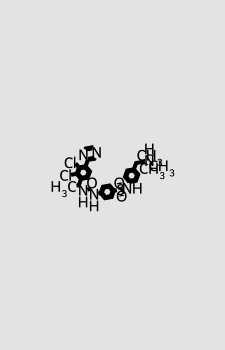 CNC(C)(C)Cc1ccc(NS(=O)(=O)c2ccc(NC(=O)NC(C)c3ccc(-c4cnccn4)c(Cl)c3Cl)cc2)cc1